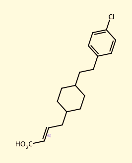 O=C(O)/C=C/CC1CCC(CCc2ccc(Cl)cc2)CC1